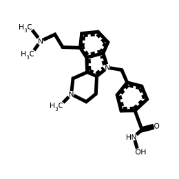 CN(C)CCc1cccc2c1c1c(n2Cc2ccc(C(=O)NO)cc2)CCN(C)C1